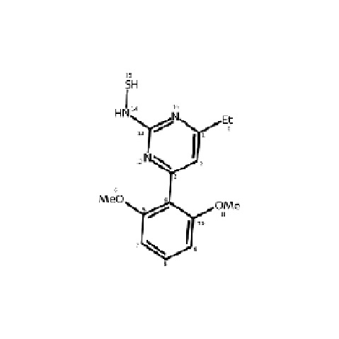 CCc1cc(-c2c(OC)cccc2OC)nc(NS)n1